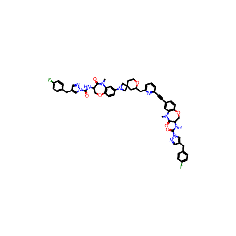 CN1C(=O)C(NC(=O)n2cc(Cc3ccc(F)cc3)cn2)COc2ccc(C#Cc3cccc(CC4CC5(CCO4)CN(c4ccc6c(c4)N(C)C(=O)C(NC(=O)n4cc(Cc7ccc(F)cc7)cn4)CO6)C5)n3)cc21